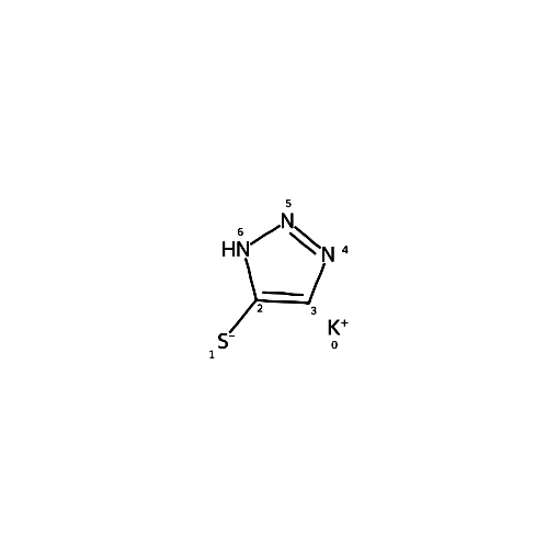 [K+].[S-]c1cnn[nH]1